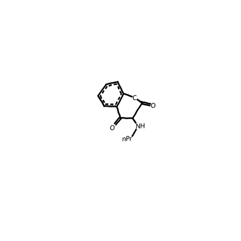 CCCNC1C(=O)Cc2ccccc2C1=O